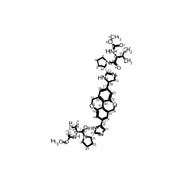 COC(=O)N[C@H](C(=O)N1CCC[C@H]1C1=NCC(c2cc3c4c(c2)OCc2cc(-c5cnc([C@@H]6CCCN6C(=O)[C@@H](NC(=O)OC)C(C)C)[nH]5)cc(c2-4)OC3)N1)C(C)C